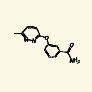 Cc1ccc(Oc2cccc(C(N)=O)c2)nn1